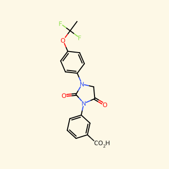 CC(F)(F)Oc1ccc(N2CC(=O)N(c3cccc(C(=O)O)c3)C2=O)cc1